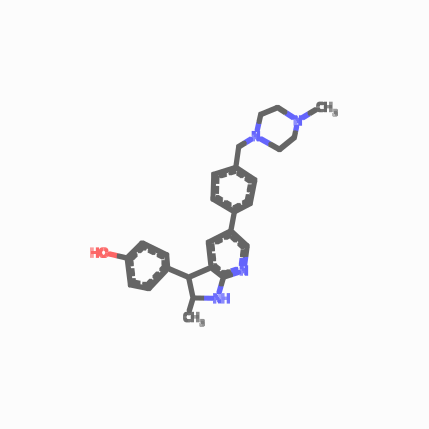 CC1Nc2ncc(-c3ccc(CN4CCN(C)CC4)cc3)cc2C1c1ccc(O)cc1